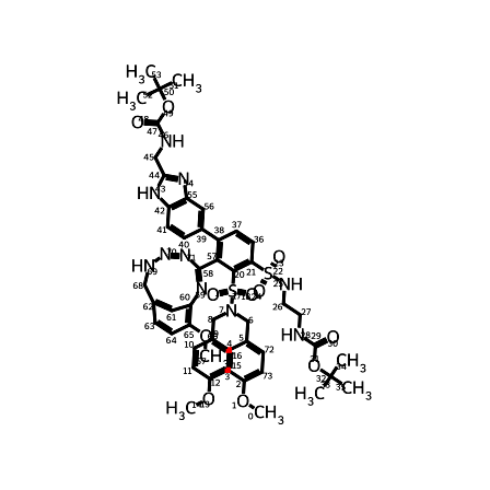 COc1ccc(CN(Cc2ccc(OC)cc2)S(=O)(=O)c2c(S(=O)(=O)NCCNC(=O)OC(C)(C)C)ccc(-c3ccc4[nH]c(CNC(=O)OC(C)(C)C)nc4c3)c2C2=N/c3cc(ccc3OC)CN/N=N\2)cc1